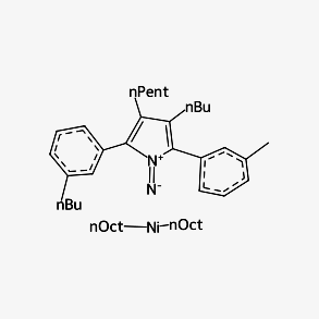 CCCCCC1=C(c2cccc(CCCC)c2)[N+](=[N-])C(c2cccc(C)c2)=C1CCCC.CCCCCCC[CH2][Ni][CH2]CCCCCCC